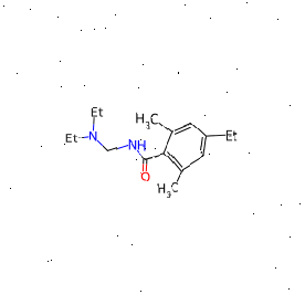 CCc1cc(C)c(C(=O)NCN(CC)CC)c(C)c1